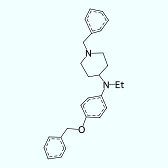 CCN(c1ccc(OCc2ccccc2)cc1)C1CCN(Cc2ccccc2)CC1